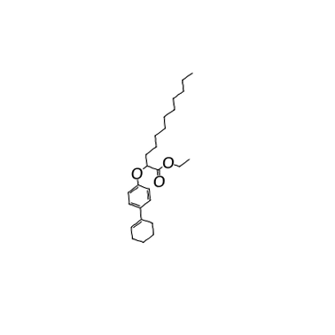 CCCCCCCCCCC(Oc1ccc(C2=CCCCC2)cc1)C(=O)OCC